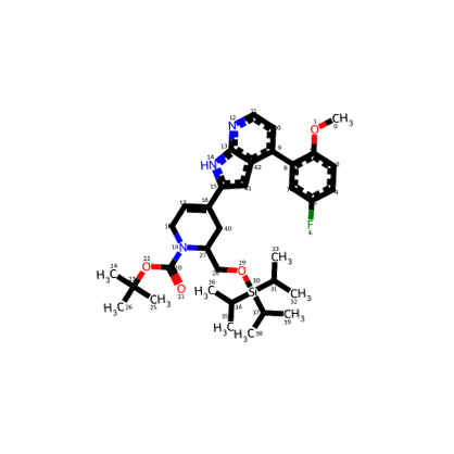 COc1ccc(F)cc1-c1ccnc2[nH]c(C3=CCN(C(=O)OC(C)(C)C)C(CO[Si](C(C)C)(C(C)C)C(C)C)C3)cc12